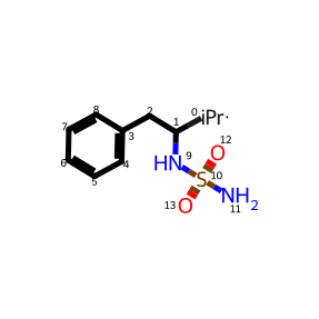 C[C](C)C(Cc1ccccc1)NS(N)(=O)=O